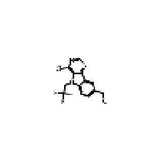 FC(F)(F)Cn1c2ccc(CCl)cc2c2ncnc(Cl)c21